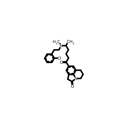 CC(CCCC(=O)c1cc2c3c(c1)CC(=O)N3CCC2)N(C)CCc1ccccc1Cl